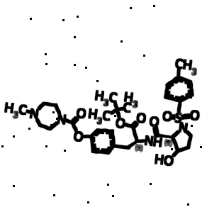 Cc1ccc(S(=O)(=O)N2CCC(O)[C@H]2C(=O)N[C@@H](Cc2ccc(OC(=O)N3CCN(C)CC3)cc2)C(=O)OC(C)(C)C)cc1